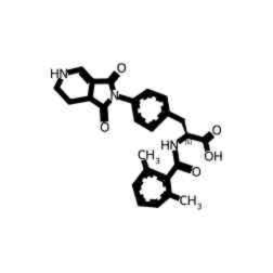 Cc1cccc(C)c1C(=O)N[C@@H](Cc1ccc(N2C(=O)C3=CNCCC3C2=O)cc1)C(=O)O